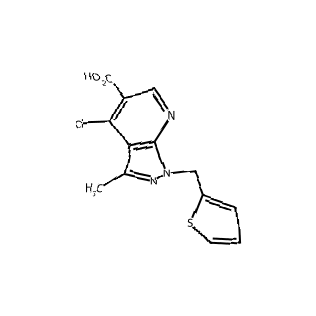 Cc1nn(Cc2cccs2)c2ncc(C(=O)O)c(Cl)c12